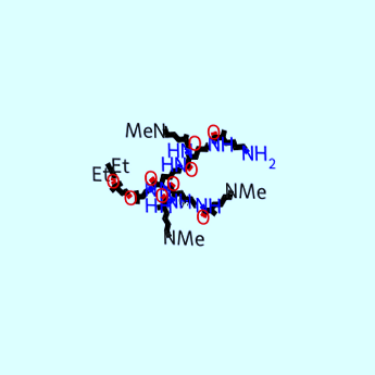 CCC(C)(CC)COC(C)(C)CCOC(C)(C)CCNC(=O)C(CCCCNC(=O)C(CCCCNC(=O)C(C)CCCCN)NC(=O)C(C)CCCCNC)NC(=O)C(C[C@@H](C)CCNC(=O)C(C)CCCCNC)NC(=O)C(C)CCCCNC